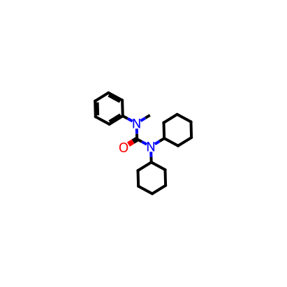 CN(C(=O)N(C1CCCCC1)C1CCCCC1)c1ccccc1